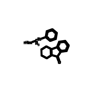 CCCCCCC.CCc1ccccc1.O=C1C2=C(CCCC2)c2ccccc21